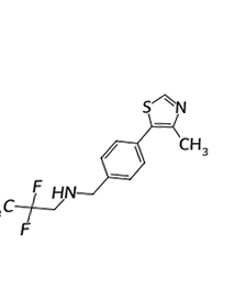 Cc1ncsc1-c1ccc(CNCC(C)(F)F)cc1